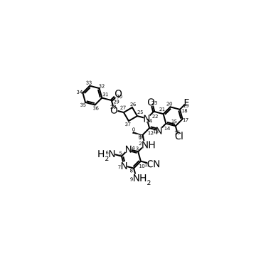 C[C@H](Nc1nc(N)nc(N)c1C#N)c1nc2c(Cl)cc(F)cc2c(=O)n1C1CC(OC(=O)c2ccccc2)C1